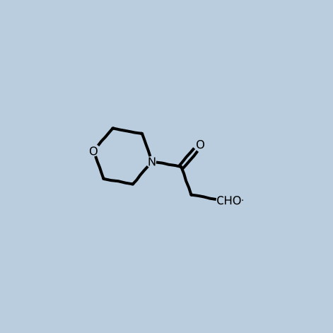 O=[C]CC(=O)N1CCOCC1